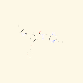 CCc1cnc(-c2cc(OC[C@H]3CCOC3)cc(C(=O)NCc3cnc(C)cn3)c2)s1